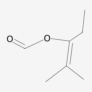 CCC(OC=O)=C(C)C